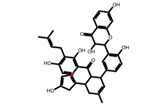 CC(C)=CCc1c(O)ccc(C(=O)C2C(C3=CC=C(O)C3)CC(C)=CC2c2ccc(O)c(C3Oc4cc(O)ccc4C(=O)C3O)c2)c1O